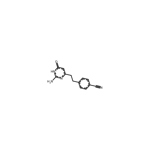 N#Cc1ccc(CCc2cc(=O)[nH]c(N)n2)cc1